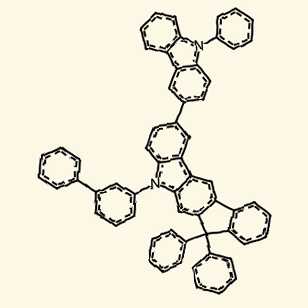 c1ccc(-c2cccc(-n3c4ccc(-c5ccc6c(c5)c5ccccc5n6-c5ccccc5)cc4c4cc5c(cc43)C(c3ccccc3)(c3ccccc3)c3ccccc3-5)c2)cc1